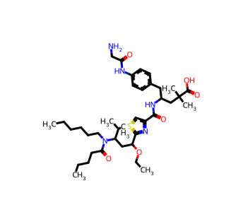 CCCCCCN(C(=O)CCCC)C(CC(OCC)c1nc(C(=O)NC(Cc2ccc(NC(=O)CN)cc2)CC(C)(C)C(=O)O)cs1)C(C)C